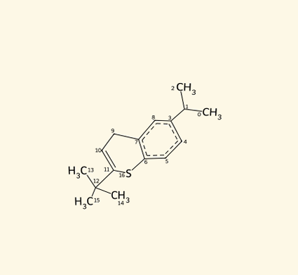 CC(C)c1ccc2c(c1)CC=C(C(C)(C)C)S2